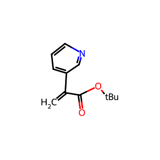 C=C(C(=O)OC(C)(C)C)c1cccnc1